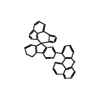 C1=CC2=C(CC1)c1ccc(-c3cccc4c3-c3cccc5cccc(c35)S4)cc1C21c2ccccc2-c2cccc3cccc1c23